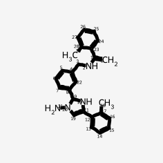 C=C(NCc1cccc(C2NC(c3ccccc3C)=CN2N)c1)c1ccccc1C